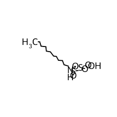 CCCCCCCCCCCCNS(=O)(=O)CSOOO